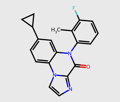 Cc1c(F)cccc1-n1c(=O)c2nccn2c2ccc(C3CC3)cc21